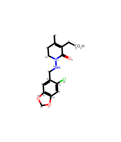 CC1=C(CC(=O)O)C(=O)N(NCc2cc3c(cc2Cl)OCO3)CC1